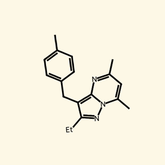 CCc1nn2c(C)cc(C)nc2c1Cc1ccc(C)cc1